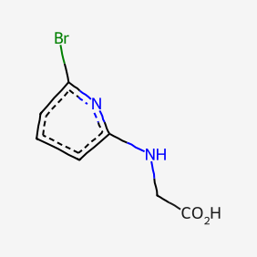 O=C(O)CNc1cccc(Br)n1